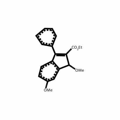 CCOC(=O)C1=C(c2ccccc2)c2ccc(OC)cc2C1OC